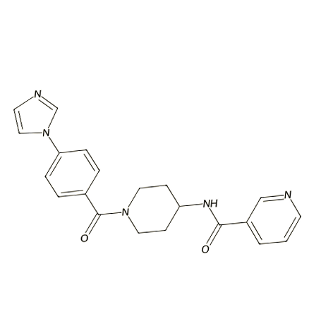 O=C(NC1CCN(C(=O)c2ccc(-n3ccnc3)cc2)CC1)c1cccnc1